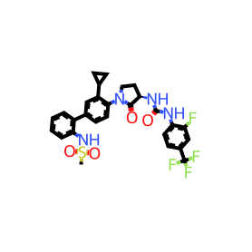 CS(=O)(=O)Nc1ccccc1-c1ccc(N2CC[C@@H](NC(=O)Nc3ccc(C(F)(F)F)cc3F)C2=O)c(C2CC2)c1